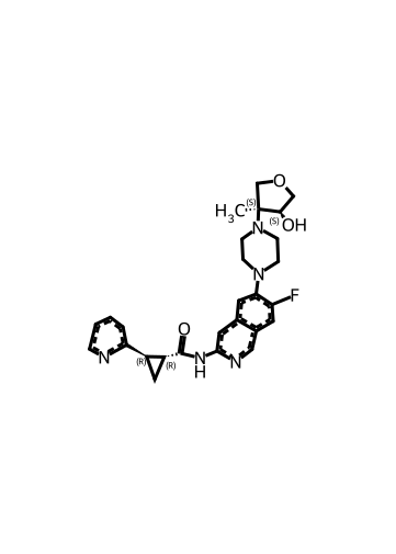 C[C@]1(N2CCN(c3cc4cc(NC(=O)[C@@H]5C[C@H]5c5ccccn5)ncc4cc3F)CC2)COC[C@H]1O